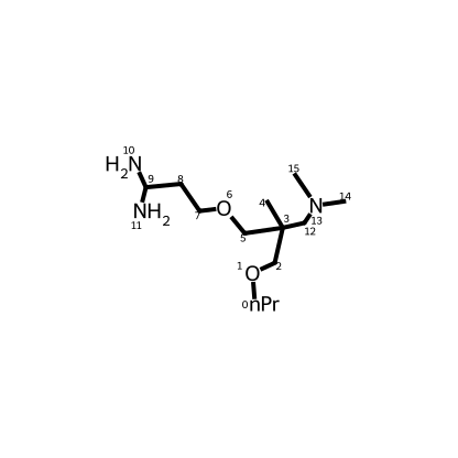 CCCOCC(C)(COCCC(N)N)CN(C)C